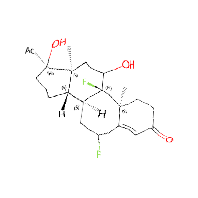 CC(=O)[C@@]1(O)CC[C@H]2[C@@H]3CC(F)C4=CC(=O)CC[C@]4(C)[C@@]3(F)C(O)C[C@@]21C